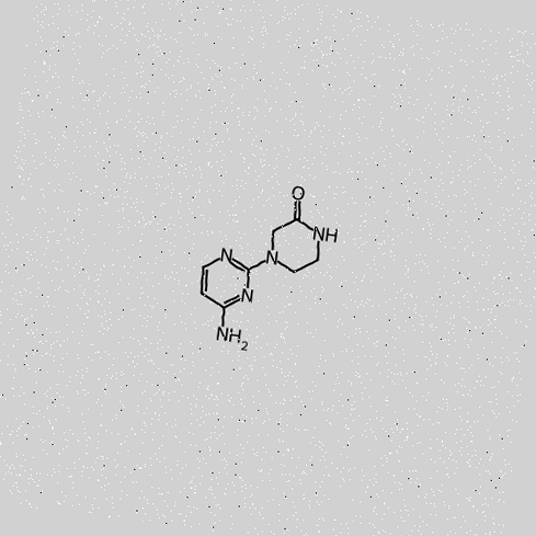 Nc1ccnc(N2CCNC(=O)C2)n1